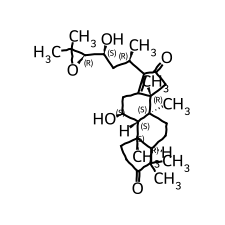 C[C@H](C[C@H](O)[C@H]1OC1(C)C)C1=C2C[C@H](O)[C@H]3[C@@]4(C)CCC(=O)C(C)(C)[C@@H]4CC[C@]3(C)[C@@]2(C)CC1=O